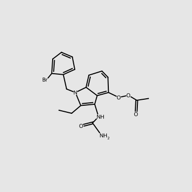 CCc1c(NC(N)=O)c2c(OOC(C)=O)cccc2n1Cc1ccccc1Br